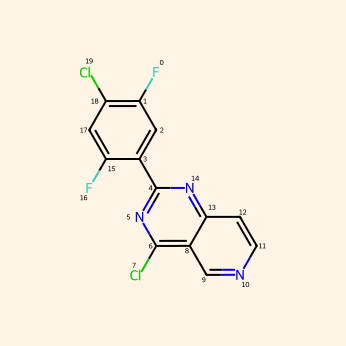 Fc1cc(-c2nc(Cl)c3cnccc3n2)c(F)cc1Cl